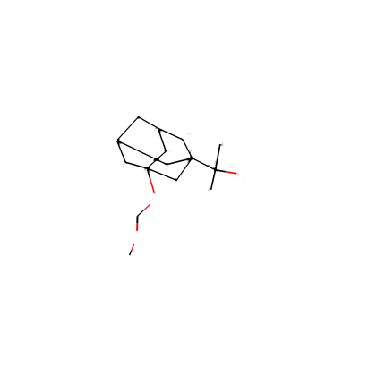 COCOC12CC3CC(C1)CC(C(C)(C)O)(C3)C2